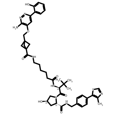 Cc1ncsc1-c1ccc(CNC(=O)[C@@H]2C[C@@H](O)CN2C(=O)[C@@H](NC(=O)CCCCCNC(=O)C23CC(COc4cc(-c5ccccc5O)nnc4N)(C2)C3)C(C)(C)C)cc1